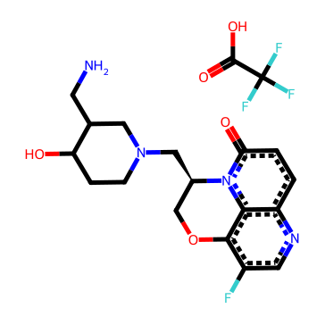 NCC1CN(C[C@@H]2COc3c(F)cnc4ccc(=O)n2c34)CCC1O.O=C(O)C(F)(F)F